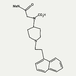 CNC(=O)CN(C(=O)O)C1CCN(CCc2cccc3ccccc23)CC1